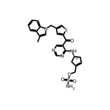 Cc1cn(Cc2csc(C(=O)c3cncnc3N[C@H]3CC=C(COS(N)(=O)=O)C3)c2)c2ccccc12